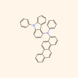 c1ccc(N(c2cccc3c2ccc2c4ccccc4ccc32)c2cccc3c2c2ccccc2n3-c2ccccc2)cc1